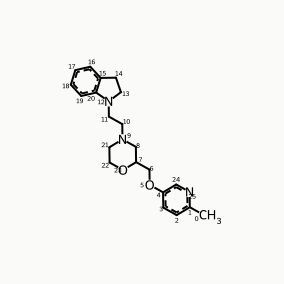 Cc1ccc(OCC2CN(CCN3CCc4ccccc43)CCO2)cn1